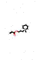 C=CC(=O)OCCC[Si]1(C)CCCCC1